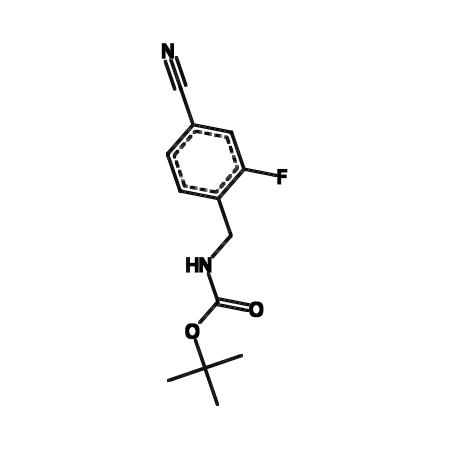 CC(C)(C)OC(=O)NCc1ccc(C#N)cc1F